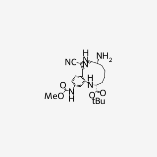 COC(=O)Nc1ccc2c(c1)N[C@@H](C(=O)OC(C)(C)C)CCCC[C@H](N)c1nc-2c(C#N)[nH]1